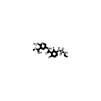 CCNS(=O)(=O)Nc1ccc(F)c(C(=O)Nc2cnc(N)c(C(=N)OC)c2)c1F